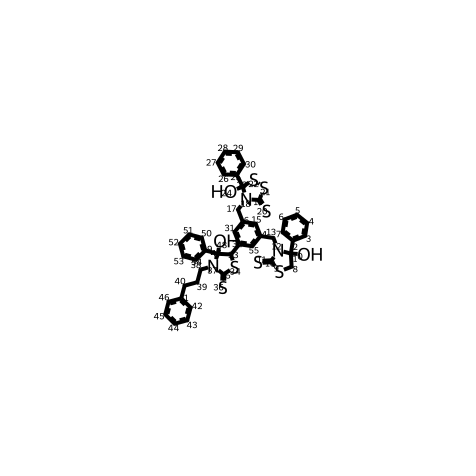 OC1(c2ccccc2)CSC(=S)N1Cc1cc(CN2C(=S)SSC2(O)c2ccccc2)cc(C2SC(=S)N(CCCc3ccccc3)C2(O)c2ccccc2)c1